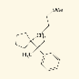 CSCCCCC(C)(c1ccccc1)C1(C)CCCC1